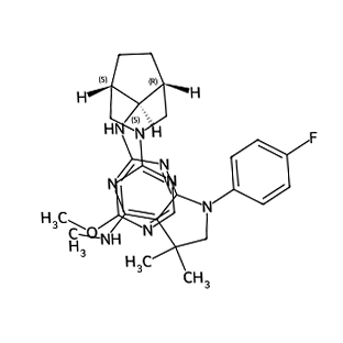 CNc1nc(N[C@@H]2[C@@H]3CC[C@H]2CN(c2cc(OC)ncn2)C3)nc2c1C(C)(C)CN2c1ccc(F)cc1